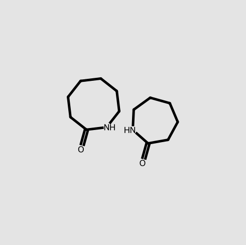 O=C1CCCCCCN1.O=C1CCCCCN1